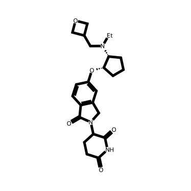 CCN(CC1COC1)[C@@H]1CCC[C@@H]1Oc1ccc2c(c1)CN(C1CCC(=O)NC1=O)C2=O